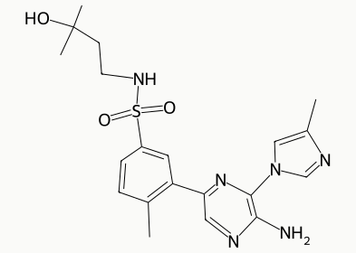 Cc1cn(-c2nc(-c3cc(S(=O)(=O)NCCC(C)(C)O)ccc3C)cnc2N)cn1